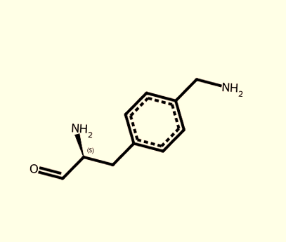 NCc1ccc(C[C@H](N)C=O)cc1